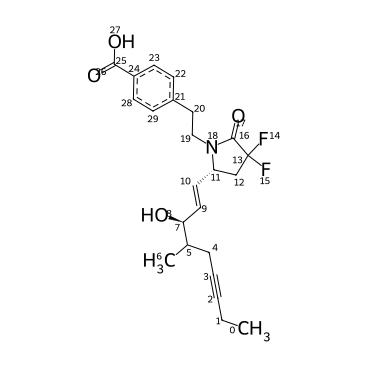 CCC#CCC(C)[C@@H](O)/C=C/[C@H]1CC(F)(F)C(=O)N1CCc1ccc(C(=O)O)cc1